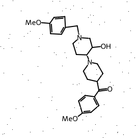 COc1ccc(CN2CCC(N3CCC(C(=O)c4ccc(OC)cc4)CC3)C(O)C2)cc1